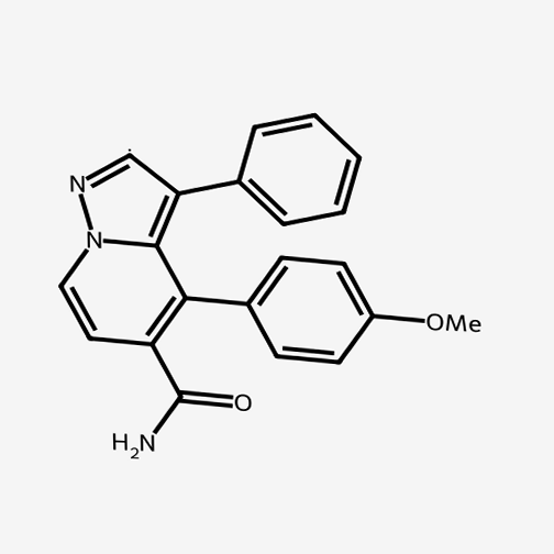 COc1ccc(-c2c(C(N)=O)ccn3n[c]c(-c4ccccc4)c23)cc1